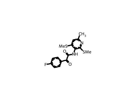 CSc1cc(C)nc(SC)c1NC(=O)C(=O)c1ccc(F)cc1